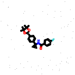 CC1(C)OB(c2ccc(C3(NC(=O)c4ccc(F)cc4)CC3)cc2)OC1(C)C